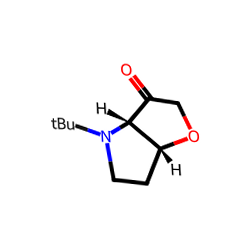 CC(C)(C)N1CC[C@H]2OCC(=O)[C@H]21